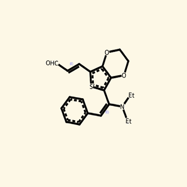 CCN(CC)/C(=C/c1ccccc1)c1sc(/C=C/C=O)c2c1OCCO2